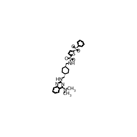 CN(C)c1nc(NC[C@H]2CC[C@H](CNS(=O)(=O)c3ccc(S(=O)(=O)c4ccccc4)s3)CC2)nc2ccccc12